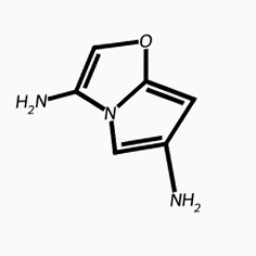 Nc1cc2occ(N)n2c1